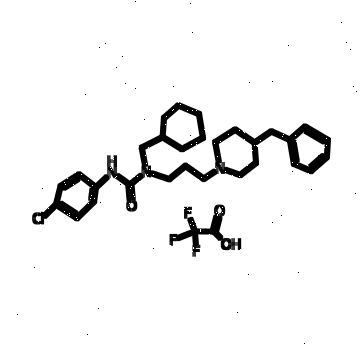 O=C(Nc1ccc(Cl)cc1)N(CCCN1CCC(Cc2ccccc2)CC1)CC1CCCCC1.O=C(O)C(F)(F)F